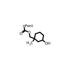 CCCCCC(=O)OCC1(C)CCCC(O)C1